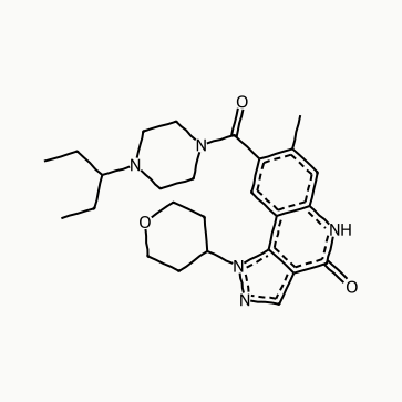 CCC(CC)N1CCN(C(=O)c2cc3c(cc2C)[nH]c(=O)c2cnn(C4CCOCC4)c23)CC1